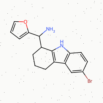 NC(c1ccco1)C1CCCc2c1[nH]c1ccc(Br)cc21